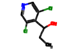 CCC(O)c1c(Cl)cncc1Cl